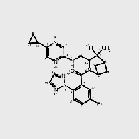 C[C@@H]1C2CC(C2)N(C(=O)c2cc(F)ccc2-n2nccn2)C1CNc1cnc(C2CC2)cn1